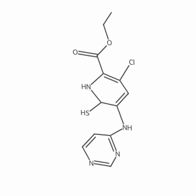 CCOC(=O)C1=C(Cl)C=C(Nc2ccncn2)C(S)N1